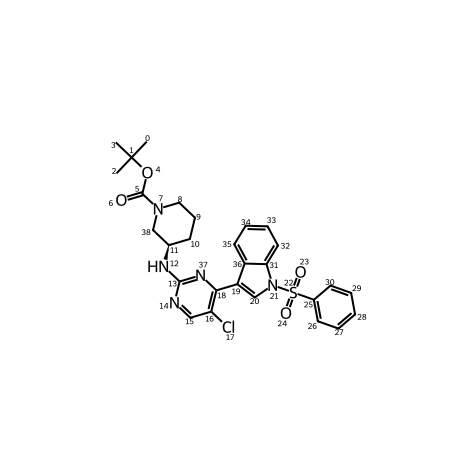 CC(C)(C)OC(=O)N1CCC[C@@H](Nc2ncc(Cl)c(-c3cn(S(=O)(=O)c4ccccc4)c4ccccc34)n2)C1